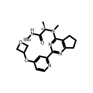 C[C@H](C(=O)NC(C)(C)C)N(C)c1nc(-c2cc(OC3COC3)ccn2)nc2c1CCC2